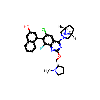 CN1CCC[C@H]1COc1nc(N2C[C@H]3CC[C@@H](C2)N3)c2cc(Cl)c(-c3cc(O)cc4ccccc34)c(F)c2n1